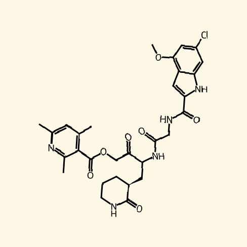 COc1cc(Cl)cc2[nH]c(C(=O)NCC(=O)NC(C[C@@H]3CCCNC3=O)C(=O)COC(=O)c3c(C)cc(C)nc3C)cc12